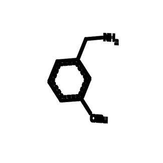 CC(C)COc1cccc(CN)c1